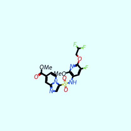 COC(=O)c1ccn2c(S(=O)(=O)Nc3cc(F)c(OCC(F)F)nc3OC)cnc2c1